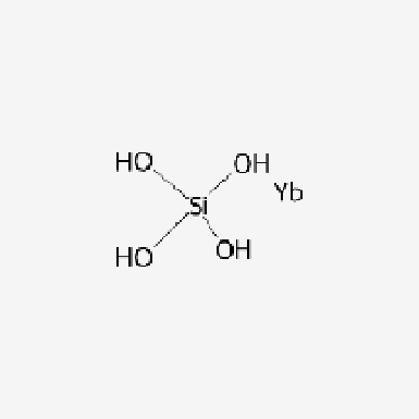 O[Si](O)(O)O.[Yb]